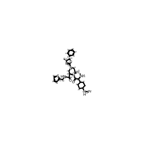 CC(C)NC1CCC(C(NC(C)C)C(=O)N2CCN(C3=N[C@@H](C)[C@H](c4ccccc4)O3)CC2C(=O)NCc2cccs2)CC1